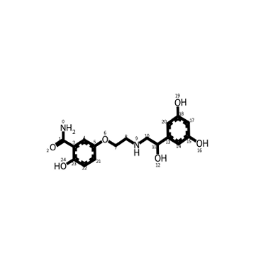 NC(=O)c1cc(OCCNCC(O)c2cc(O)cc(O)c2)ccc1O